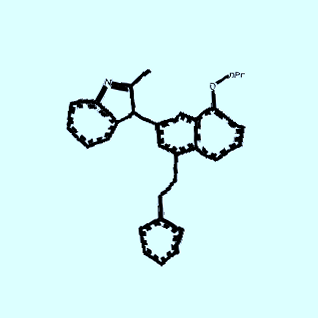 CCCOc1cccc2c(CCc3ccccc3)cc(C3C(C)=Nc4ccccc43)cc12